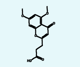 COc1cc(OC)c2c(=O)cc(CCC(=O)O)oc2c1